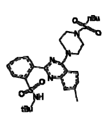 CCCCS(=O)(=O)N1CCN(c2nc(-c3ccccc3S(=O)(=O)NC(C)(C)C)nc3cc(C)ccc23)CC1